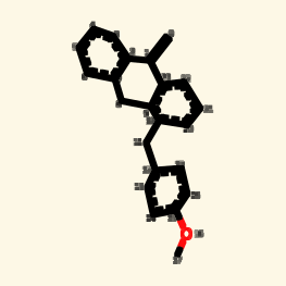 C=C1c2ccccc2Cc2c(Cc3ccc(OC)cc3)cccc21